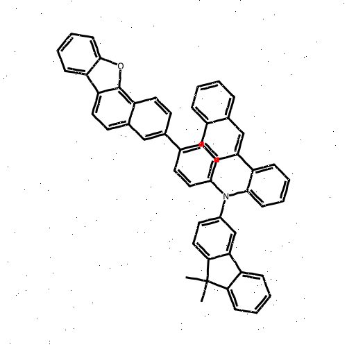 CC1(C)c2ccccc2-c2cc(N(c3ccc(-c4ccc5c(ccc6c7ccccc7oc56)c4)cc3)c3ccccc3-c3ccc4ccccc4c3)ccc21